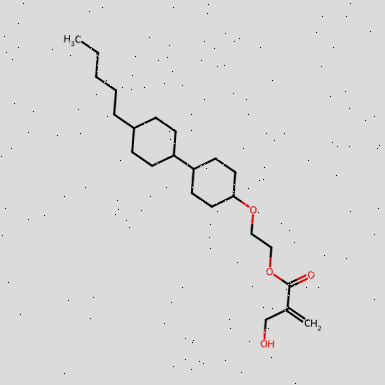 C=C(CO)C(=O)OCCOC1CCC(C2CCC(CCCCC)CC2)CC1